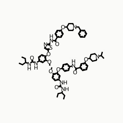 CCC(CC)NC(=O)Nc1ccc(OC)c(Oc2ccc(NC(=O)c3cccc(OC4CCN(C(C)C)CC4)c3)cc2)c1.CCC(CC)NC(=O)Nc1ccc(Oc2cnc(NC(=O)c3ccc(OC4CCN(Cc5ccccc5)CC4)cc3)s2)c(OC)c1